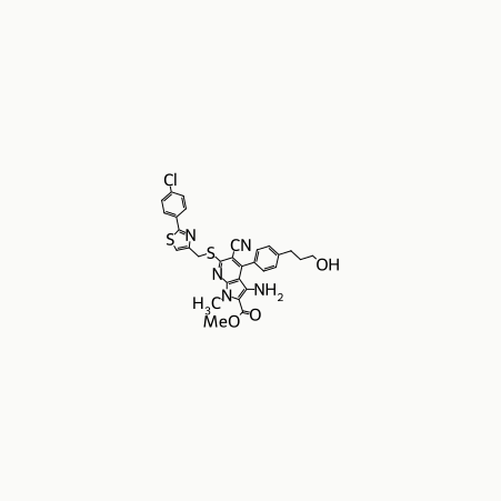 COC(=O)c1c(N)c2c(-c3ccc(CCCO)cc3)c(C#N)c(SCc3csc(-c4ccc(Cl)cc4)n3)nc2n1C